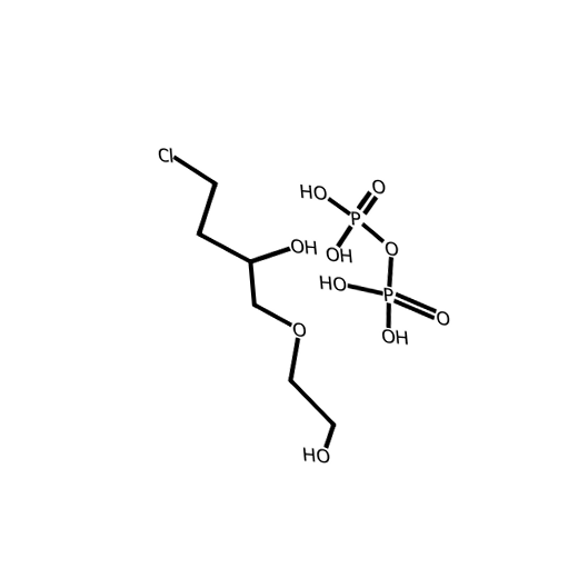 O=P(O)(O)OP(=O)(O)O.OCCOCC(O)CCCl